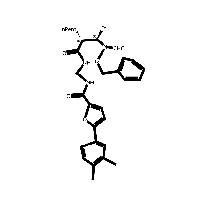 CCCCC[C@@H](C(=O)NCNC(=O)c1ccc(-c2ccc(C)c(C)c2)o1)[C@@H](CC)N(C=O)OCc1ccccc1